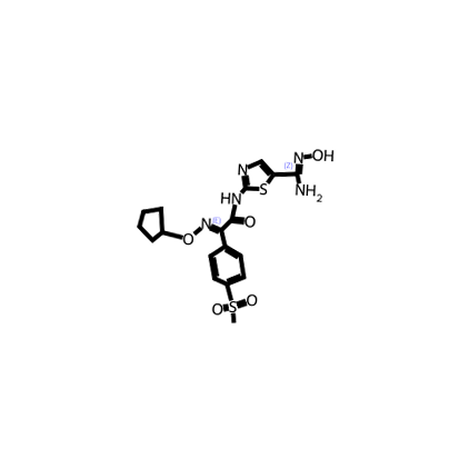 CS(=O)(=O)c1ccc(/C(=N\OC2CCCC2)C(=O)Nc2ncc(/C(N)=N/O)s2)cc1